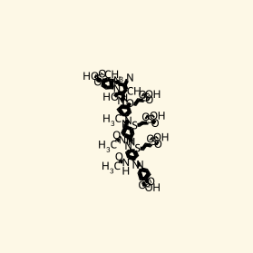 CC(=O)Nc1cc(N=Nc2cc(SCCCS(=O)(=O)O)c(N=Nc3cc(OCCCS(=O)(=O)O)c(N=Nc4c(C)c(C#N)c5nc6c(C)c(S(=O)(=O)O)ccc6n5c4O)cc3C)cc2NC(C)=O)c(SCCCS(=O)(=O)O)cc1N=Nc1ccc(S(=O)(=O)O)cc1